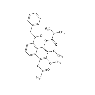 COc1c(OC)c(OC(=O)C(C)C)c2c([S+]([O-])Cc3ccccc3)cccc2c1OC(C)=O